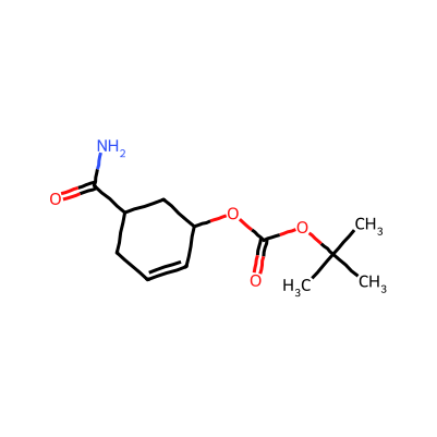 CC(C)(C)OC(=O)OC1C=CCC(C(N)=O)C1